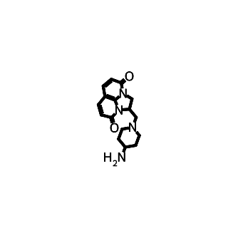 NC1CCN(CC2Cn3c(=O)ccc4ccc(=O)n2c43)CC1